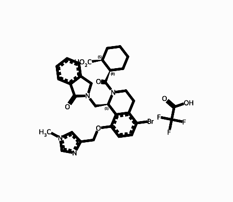 Cn1cnc(COc2ccc(Br)c3c2[C@@H](CN2Cc4ccccc4C2=O)N(C(=O)[C@@H]2CCCC[C@@H]2C(=O)O)CC3)c1.O=C(O)C(F)(F)F